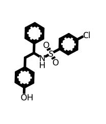 O=S(=O)(NC(Cc1ccc(O)cc1)c1ccccc1)c1ccc(Cl)cc1